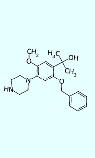 COc1cc(C(C)(C)O)c(OCc2ccccc2)cc1N1CCNCC1